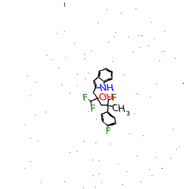 CC(CF)(CC(O)(Cc1cc2ccccc2[nH]1)C(F)F)c1ccc(F)cc1